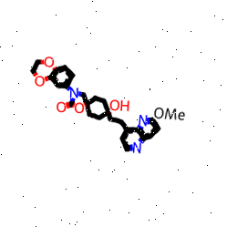 COc1ccc2nccc(CCC3(O)CCC4(CC3)CN(c3ccc5c(c3)OCCO5)C(=O)O4)c2n1